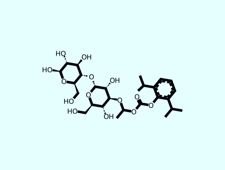 CC(OC(=O)Oc1c(C(C)C)cccc1C(C)C)O[C@@H]1[C@@H](O)[C@@H](O[C@H]2[C@H](O)[C@@H](O)[C@H](O)O[C@@H]2CO)O[C@H](CO)[C@H]1O